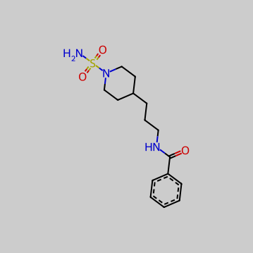 NS(=O)(=O)N1CCC(CCCNC(=O)c2ccccc2)CC1